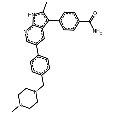 Cc1[nH]c2ncc(-c3ccc(CN4CCN(C)CC4)cc3)cc2c1-c1ccc(C(N)=O)cc1